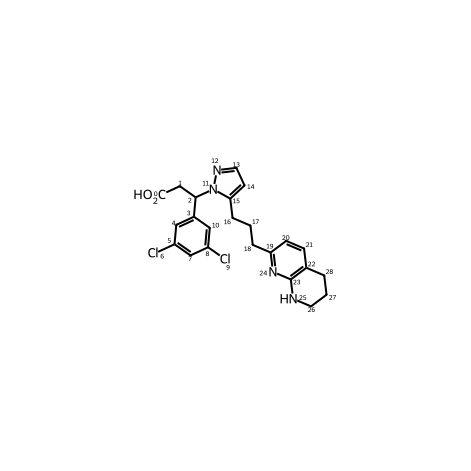 O=C(O)CC(c1cc(Cl)cc(Cl)c1)n1nccc1CCCc1ccc2c(n1)NCCC2